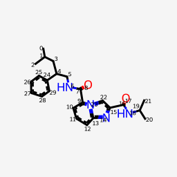 CC(C)CC(CNC(=O)c1cccc2nc(C(=O)NC(C)C)cn12)c1ccccc1